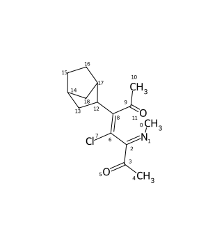 C/N=C(C(C)=O)\C(Cl)=C(/C(C)=O)C1CC2CCC1C2